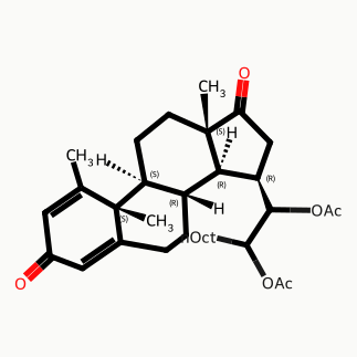 CCCCCCCCC(OC(C)=O)C(OC(C)=O)[C@@H]1CC(=O)[C@@]2(C)CC[C@H]3[C@@H](CCC4=CC(=O)C=C(C)[C@@]43C)[C@H]12